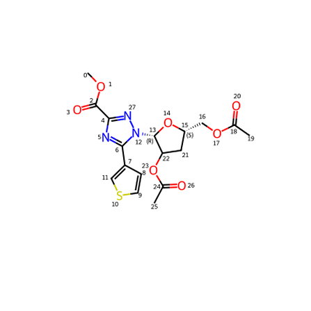 COC(=O)c1nc(-c2ccsc2)n([C@@H]2O[C@H](COC(C)=O)CC2OC(C)=O)n1